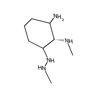 CNNC1CCCC(N)[C@@H]1NC